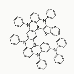 c1ccc(N(c2ccccc2)c2ccc3c(c2)N(c2ccccc2)c2cccc4c2B3c2cc3c(cc2N4c2ccccc2)N(c2ccccc2)c2cccc4c2B3c2sc3ccccc3c2N4c2ccccc2)cc1